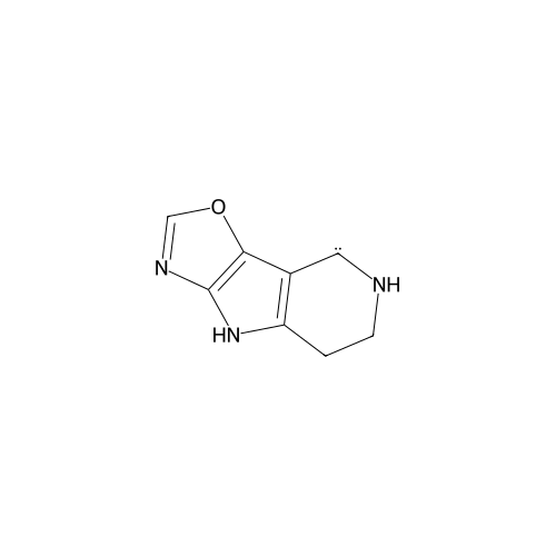 [C]1NCCc2[nH]c3ncoc3c21